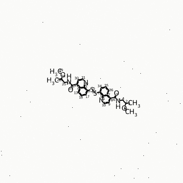 COC(C)CNC(=O)c1ccnc2c(SSc3cccc4c(C(=O)NCC(C)OC)ccnc34)cccc12